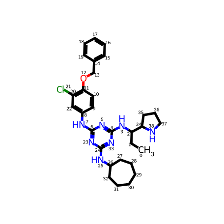 CCC(Nc1nc(Nc2ccc(OCc3ccccc3)c(Cl)c2)nc(NC2CCCCCC2)n1)C1CCCN1